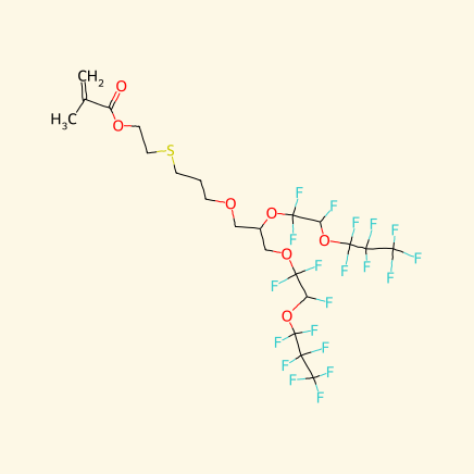 C=C(C)C(=O)OCCSCCCOCC(COC(F)(F)C(F)OC(F)(F)C(F)(F)C(F)(F)F)OC(F)(F)C(F)OC(F)(F)C(F)(F)C(F)(F)F